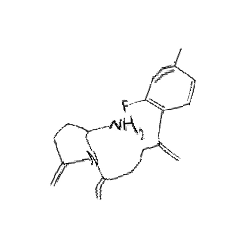 C=C(CCC(=C)N1C(=C)CCC1N)c1ccc(C)cc1F